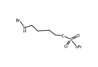 CCCS(=O)(=O)CCCCCNBr